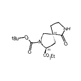 CCOC(=O)[C@@H]1C[C@@]2(CCNC2=O)CN1C(=O)OC(C)(C)C